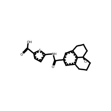 CC12CCCc3cc(C(=O)Nc4ccc(C(=O)O)s4)cc(c31)CCC2